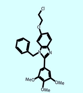 COc1cc(-c2nc3ccc(OCCCl)cc3n2Cc2ccccc2)cc(OC)c1OC